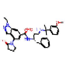 CCn1ncc2c(N3CCCC3=O)cc(C(=O)N[C@@H](Cc3ccccc3)[C@H](O)CNC(C)(C)c3cccc(OC)c3)cc21